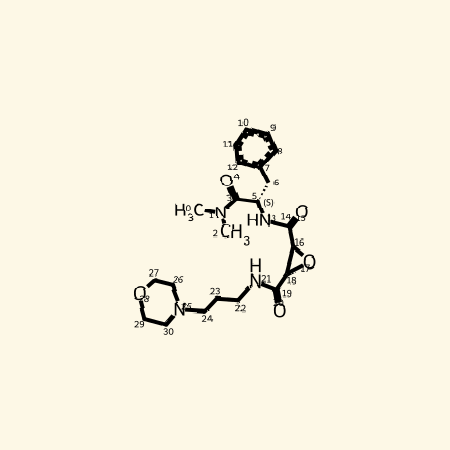 CN(C)C(=O)[C@H](Cc1ccccc1)NC(=O)C1OC1C(=O)NCCCN1CCOCC1